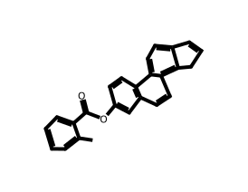 Cc1ccccc1C(=O)Oc1ccc2c(ccc3c4c(ccc32)C=CC4)c1